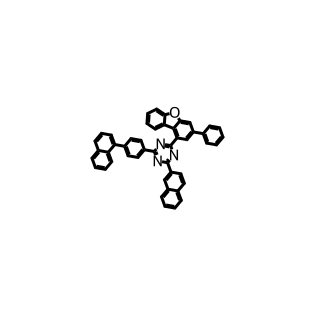 c1ccc(-c2cc(-c3nc(-c4ccc(-c5cccc6ccccc56)cc4)nc(-c4ccc5ccccc5c4)n3)c3c(c2)oc2ccccc23)cc1